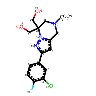 O=C(O)N1Cc2cc(-c3ccc(F)c(Cl)c3)nn2C(CO)(CO)C1